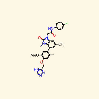 COc1cc(-c2cc(C(F)(F)F)cc3c2n(C)c(=O)n3CC(=O)Nc2ccc(F)cc2)c(C)cc1OCc1nnc[nH]1